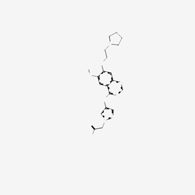 COc1cc2c(Oc3cnn(CC(=O)O)c3)ncnc2cc1OCCN1CCCC1